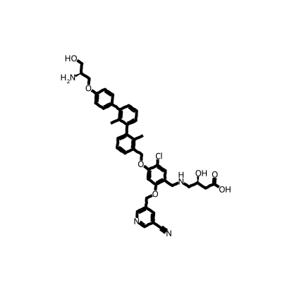 Cc1c(COc2cc(OCc3cncc(C#N)c3)c(CNC[C@@H](O)CC(=O)O)cc2Cl)cccc1-c1cccc(-c2ccc(OC[C@@H](N)CO)cc2)c1C